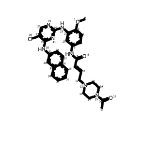 COc1ccc(NC(=O)/C=C/CN2CCN(C(C)=O)CC2)cc1Nc1ncc(Cl)c(Nc2ccc3ccccc3c2)n1